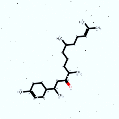 CC(C)=CCCC(C)CCCC(C)C(=O)CC(C)C1CC=C(C)CC1